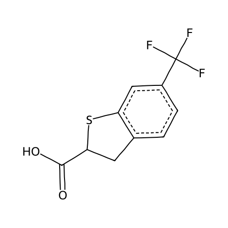 O=C(O)C1Cc2ccc(C(F)(F)F)cc2S1